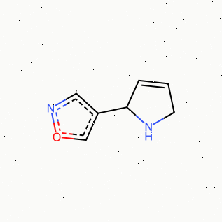 [c]1nocc1C1C=CCN1